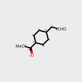 COC(=O)C1CCC(CC=O)CC1